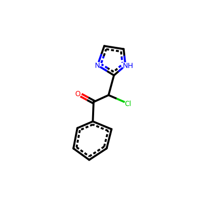 O=C(c1ccccc1)C(Cl)c1ncc[nH]1